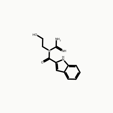 N=C(N)N(CCO)C(=O)c1cc2ccccc2[nH]1